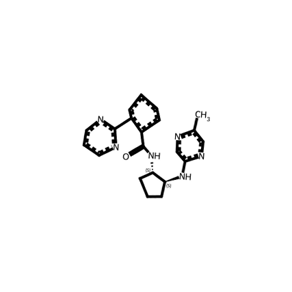 Cc1cnc(N[C@H]2CCC[C@@H]2NC(=O)c2ccccc2-c2ncccn2)cn1